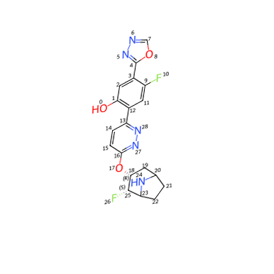 Oc1cc(-c2nnco2)c(F)cc1-c1ccc(O[C@@H]2CC3CCC(N3)[C@@H]2F)nn1